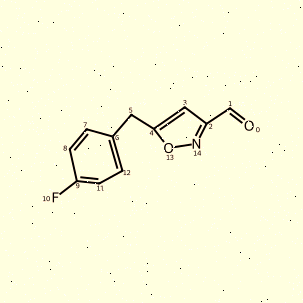 O=Cc1cc(Cc2ccc(F)cc2)on1